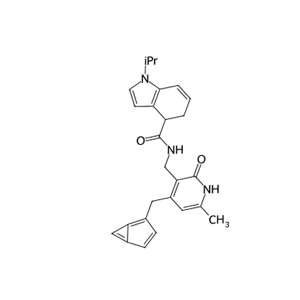 Cc1cc(Cc2ccc3cc2-3)c(CNC(=O)C2CC=Cc3c2ccn3C(C)C)c(=O)[nH]1